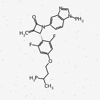 C=C1C(=O)N(c2ccc3c(c2)ncn3P)[C@@H]1c1c(F)cc(OCCC(C)P)cc1F